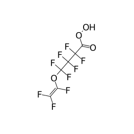 O=C(OO)C(F)(F)C(F)(F)C(F)(F)OC(F)=C(F)F